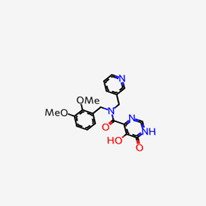 COc1cccc(CN(Cc2cccnc2)C(=O)c2nc[nH]c(=O)c2O)c1OC